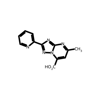 Cc1cc(C(=O)O)n2nc(-c3ccccn3)nc2n1